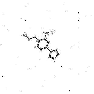 CCNc1cc(-c2ccoc2)ccc1CCO